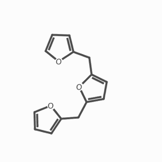 c1coc(Cc2ccc(Cc3ccco3)o2)c1